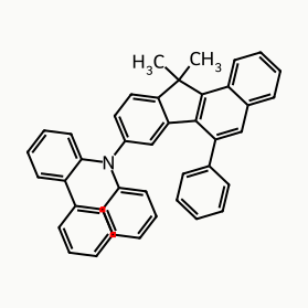 CC1(C)c2ccc(N(c3ccccc3)c3ccccc3-c3ccccc3)cc2-c2c(-c3ccccc3)cc3ccccc3c21